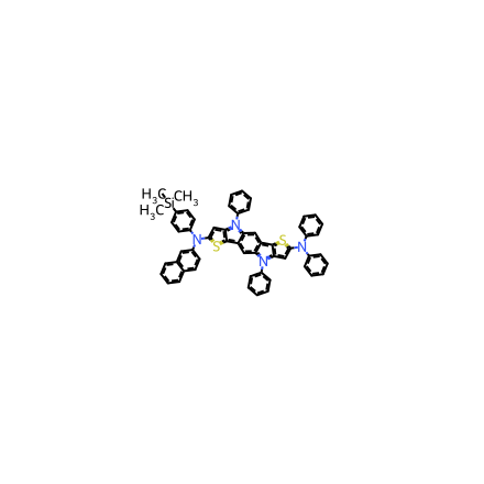 C[Si](C)(C)c1ccc(N(c2ccc3ccccc3c2)c2cc3c(s2)c2cc4c(cc2n3-c2ccccc2)c2sc(N(c3ccccc3)c3ccccc3)cc2n4-c2ccccc2)cc1